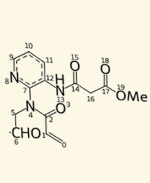 C=CC(=O)N(C[C]=O)c1ncccc1NC(=O)CC(=O)OC